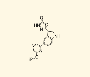 CC(C)Oc1cncc(-c2ccc3c(c2)C(c2n[nH]c(=O)o2)CN3)n1